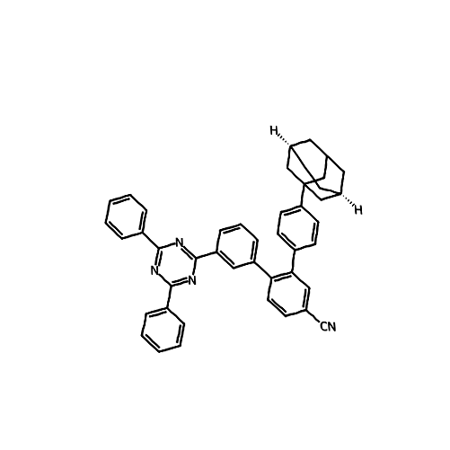 N#Cc1ccc(-c2cccc(-c3nc(-c4ccccc4)nc(-c4ccccc4)n3)c2)c(-c2ccc(C34CC5C[C@H](C3)C[C@@H](C5)C4)cc2)c1